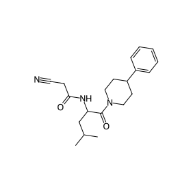 CC(C)CC(NC(=O)CC#N)C(=O)N1CCC(c2ccccc2)CC1